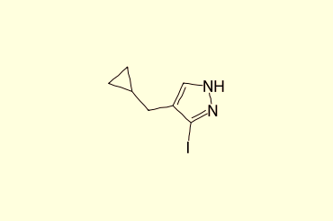 Ic1n[nH]cc1CC1CC1